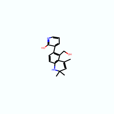 CC1=CC(C)(C)Nc2ccc(-c3cccnc3O)c(CO)c21